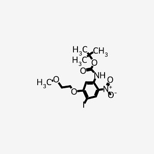 COCCOc1cc(NC(=O)OC(C)(C)C)c([N+](=O)[O-])cc1I